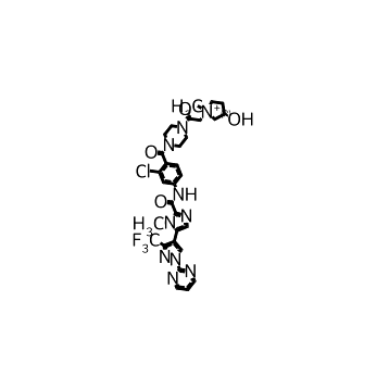 Cn1c(-c2cn(-c3ncccn3)nc2C(F)(F)F)cnc1C(=O)Nc1ccc(C(=O)N2CCN(C(=O)C[N+]3(C)CC[C@@H](O)C3)CC2)c(Cl)c1